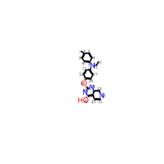 CCN(c1ccc(C)cc1)c1ccc(Oc2nc(O)c3ccncc3n2)cc1